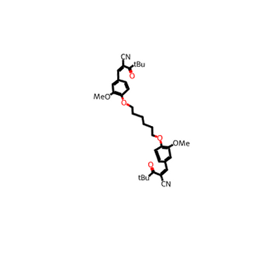 COc1cc(C=C(C#N)C(=O)C(C)(C)C)ccc1OCCCCCCOc1ccc(C=C(C#N)C(=O)C(C)(C)C)cc1OC